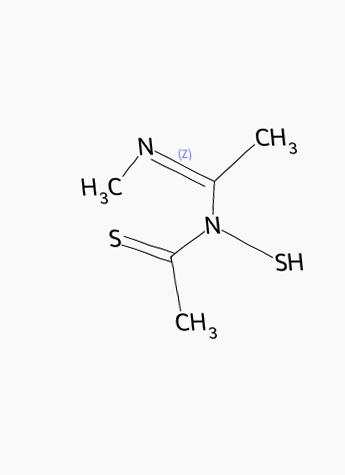 C/N=C(/C)N(S)C(C)=S